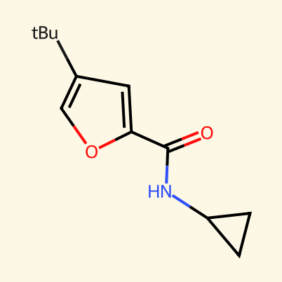 CC(C)(C)c1coc(C(=O)NC2CC2)c1